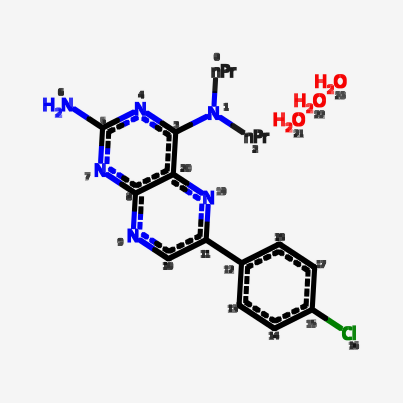 CCCN(CCC)c1nc(N)nc2ncc(-c3ccc(Cl)cc3)nc12.O.O.O